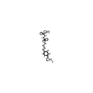 C=Cc1ccc(CSCCOC(=O)CCC(=O)O)cc1